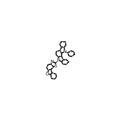 c1ccc(-n2c3ccccc3c3ccc4c(c5ccccc5n4-c4nc5ccc6oc7ccccc7c6c5s4)c32)cc1